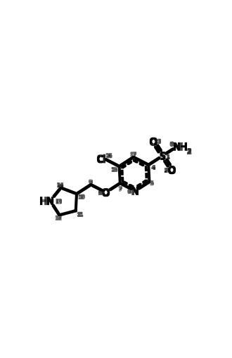 NS(=O)(=O)c1cnc(OCC2CCNC2)c(Cl)c1